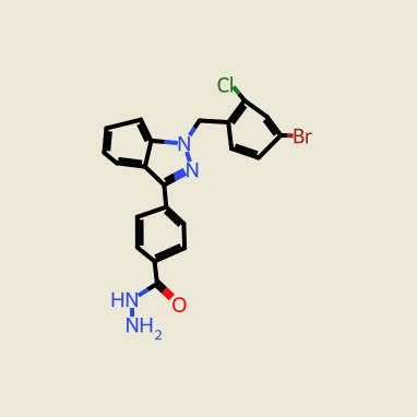 NNC(=O)c1ccc(-c2nn(Cc3ccc(Br)cc3Cl)c3ccccc23)cc1